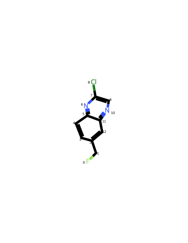 FCc1ccc2nc(Cl)cnc2c1